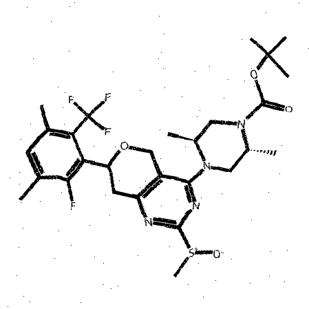 Cc1cc(C)c(C(F)(F)F)c(C2Cc3nc([S+](C)[O-])nc(N4C[C@@H](C)N(C(=O)OC(C)(C)C)C[C@@H]4C)c3CO2)c1F